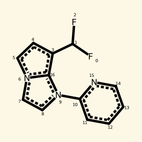 FC(F)c1ccn2ccn(-c3ccccn3)c12